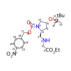 CCOC(=O)CNC[C@@H]1C[C@@H](O[Si](C)(C)C(C)(C)C)CN1C(=O)OCc1ccc([N+](=O)[O-])cc1